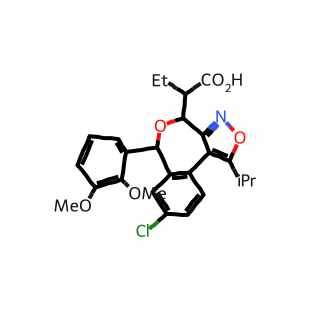 CCC(C(=O)O)C1OC(c2cccc(OC)c2OC)c2cc(Cl)ccc2-c2c1noc2C(C)C